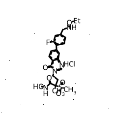 CCONCc1ccc(-c2ccc3c(=O)n(CCC(C)(C(=O)NO)S(C)(=O)=O)cnc3c2)c(F)c1.Cl